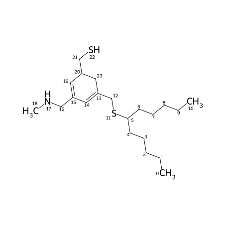 CCCCCC(CCCCC)SCC1=CC(CNC)=CC(CS)C1